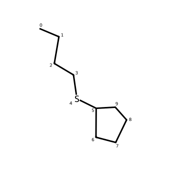 CCCCSC1CCCC1